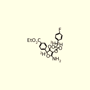 [2H]C([2H])(c1ccc(F)cc1)S(=O)(=O)OC1=C(N)O[C@@]([2H])(c2ccc(C(=O)OCC)cc2)C1=O